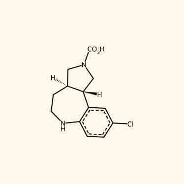 O=C(O)N1C[C@@H]2CCNc3ccc(Cl)cc3[C@H]2C1